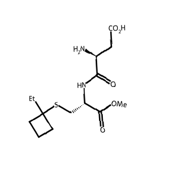 CCC1(SC[C@H](NC(=O)[C@@H](N)CC(=O)O)C(=O)OC)CCC1